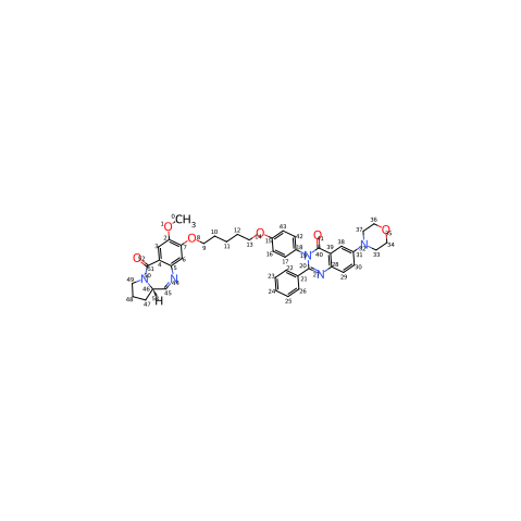 COc1cc2c(cc1OCCCCCOc1ccc(-n3c(-c4ccccc4)nc4ccc(N5CCOCC5)cc4c3=O)cc1)N=C[C@@H]1CCCN1C2=O